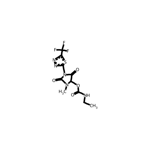 CCNC(=O)OC1C(=O)N(c2nnc(C(F)(F)F)s2)C(=O)N1C